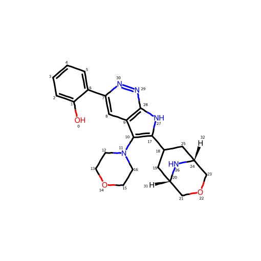 Oc1ccccc1-c1cc2c(N3CCOCC3)c(C3C[C@H]4COC[C@@H](C3)N4)[nH]c2nn1